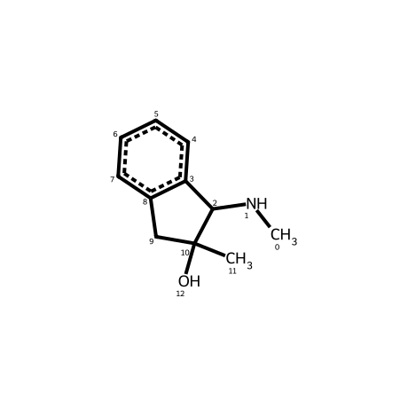 CNC1c2ccccc2CC1(C)O